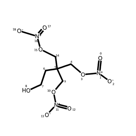 O=[N+]([O-])OCC(CCO)(CO[N+](=O)[O-])CO[N+](=O)[O-]